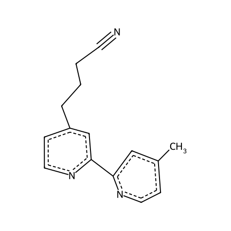 Cc1ccnc(-c2cc(CCCC#N)ccn2)c1